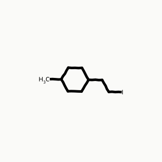 CC1CCC(CCI)CC1